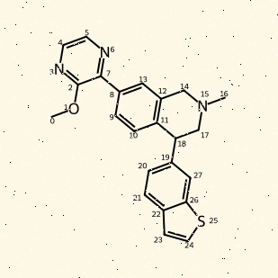 COc1nccnc1-c1ccc2c(c1)CN(C)CC2c1ccc2ccsc2c1